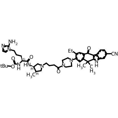 CCc1cc2c(cc1N1CCN(C(=O)CCCN3C[C@@H](C)[C@@H](NC(=O)[C@H](CCCn4ccnc4N)NC(=O)OC(C)(C)C)C3)CC1)C(C)(C)c1[nH]c3cc(C#N)ccc3c1C2=O